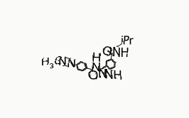 CC(C)CCNC(=O)c1ccc2[nH]nc(NC(=O)c3ccc(N4CCN(C)CC4)cc3)c2c1